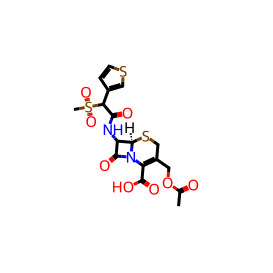 CC(=O)OCC1=C(C(=O)O)N2C(=O)C(NC(=O)C(c3ccsc3)S(C)(=O)=O)[C@H]2SC1